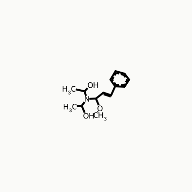 COC(/C=C/c1ccccc1)N(C(C)O)C(C)O